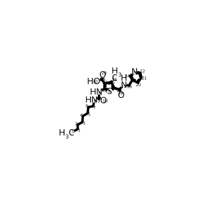 CCCCCCCCNC(=O)Nc1sc(C(=O)NCc2cccnc2)c(C)c1C(=O)O